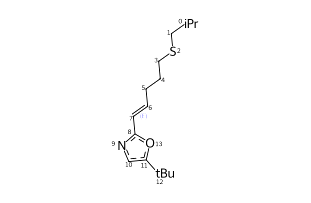 CC(C)CSCCC/C=C/c1ncc(C(C)(C)C)o1